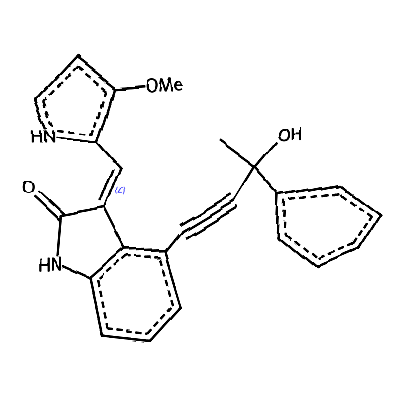 COc1cc[nH]c1/C=C1\C(=O)Nc2cccc(C#CC(C)(O)c3ccccc3)c21